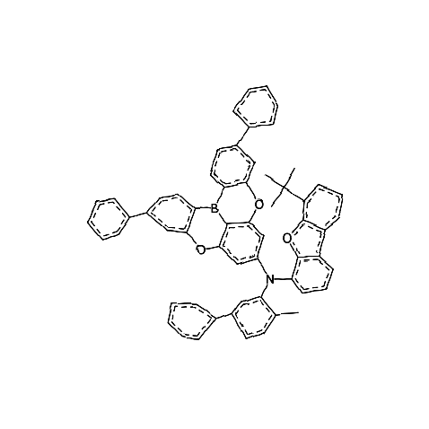 Cc1ccc(-c2ccccc2)cc1N(c1cc2c3c(c1)Oc1cc(-c4ccccc4)ccc1B3c1ccc(-c3ccccc3)cc1O2)c1cccc2c1oc1c(C(C)(C)C)cccc12